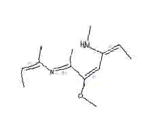 C\C=C(C)/N=C(C)/C(=C\C(=C/C)NC)OC